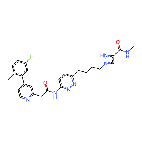 CNC(=O)c1cn(CCCCc2ccc(NC(=O)Cc3cc(-c4cc(F)ccc4C)ccn3)nn2)[nH]1